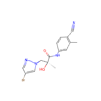 Cc1cc(NC(=O)[C@@](C)(O)Cn2cc(Br)cn2)ccc1C#N